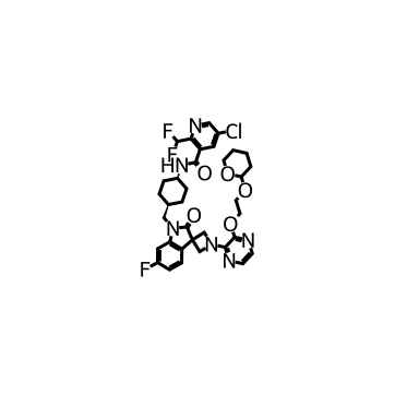 O=C(N[C@H]1CC[C@H](CN2C(=O)C3(CN(c4nccnc4OCCOC4CCCCO4)C3)c3ccc(F)cc32)CC1)c1cc(Cl)cnc1C(F)F